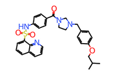 CC(C)COc1ccc(CN2CCN(C(=O)c3ccc(NS(=O)(=O)c4cccc5cccnc45)cc3)C2)cc1